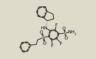 NS(=O)(=O)c1c(F)c(F)c(S(=O)(=O)CCc2ccccc2)c(N[C@H]2CCc3ccccc32)c1F